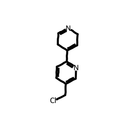 ClCc1ccc(C2=CCN=CC2)nc1